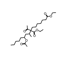 CCCCCC(CC(C)C(CCCCCCC(=O)OCC)(C(C)=O)C(=O)OCC)OC(C)=O